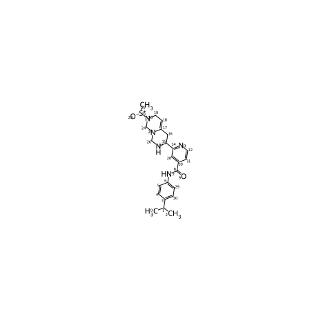 CC(C)c1ccc(NC(=O)c2ccnc(C3CC4=CCN([S+](C)[O-])CN4CN3)c2)cc1